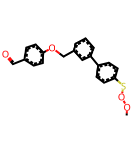 COOSc1ccc(-c2cccc(COc3ccc(C=O)cc3)c2)cc1